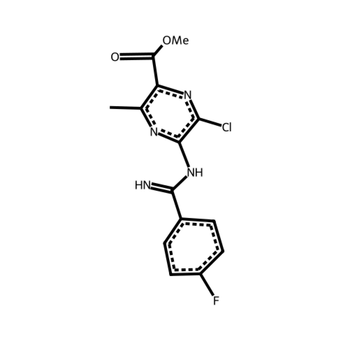 COC(=O)c1nc(Cl)c(NC(=N)c2ccc(F)cc2)nc1C